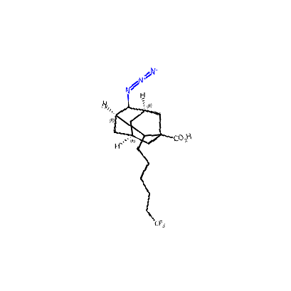 [N-]=[N+]=NC1[C@@H]2C[C@@H]3C[C@@H]1C(CCCCCC(F)(F)F)C(C(=O)O)(C3)C2